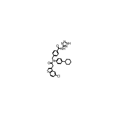 O=C(Nc1nn[nH]n1)c1ccc(CN(C(=O)Cc2csc3ccc(Cl)cc23)c2ccc(C3CCCCC3)cc2)cc1